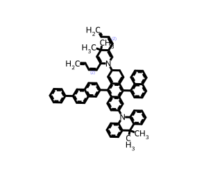 C=C/C=C\C1=CC(C)(C)C(/C=C\C=C)=CN1C1C=c2c(-c3ccc4cc(-c5ccccc5)ccc4c3)c3ccc(N4c5ccccc5C(C)(C)c5ccccc54)cc3c(-c3cccc4ccccc34)c2=CC1